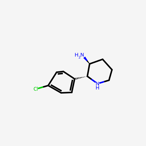 N[C@H]1CCCN[C@@H]1c1ccc(Cl)cc1